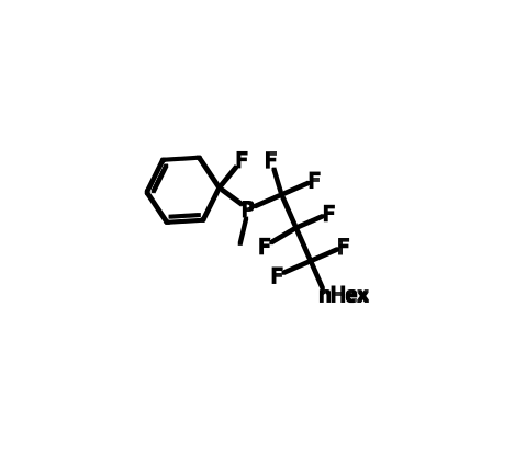 CCCCCCC(F)(F)C(F)(F)C(F)(F)P(C)C1(F)C=CC=CC1